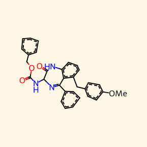 COc1ccc(Cc2cccc3c2C(c2ccccc2)=NC(NC(=O)OCc2ccccc2)C(=O)N3)cc1